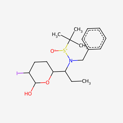 CCC(C1CCC(I)C(O)O1)N(Cc1ccccc1)[S+]([O-])C(C)(C)C